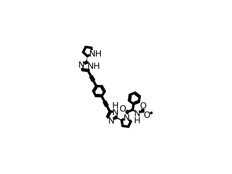 COC(=O)N[C@@H](C(=O)N1CCC[C@H]1c1ncc(C#Cc2ccc(C#Cc3cnc([C@@H]4CCCN4)[nH]3)cc2)[nH]1)c1ccccc1